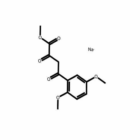 COC(=O)C(=O)CC(=O)c1cc(OC)ccc1OC.[Na]